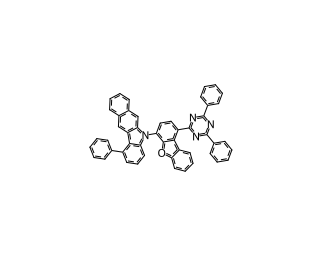 c1ccc(-c2nc(-c3ccccc3)nc(-c3ccc(-n4c5cc6ccccc6cc5c5c(-c6ccccc6)cccc54)c4oc5ccccc5c34)n2)cc1